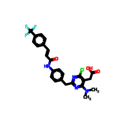 CN(C)c1nc(Cc2ccc(NC(=O)/C=C/c3ccc(C(F)(F)F)cc3)cc2)nc(Cl)c1CC(=O)O